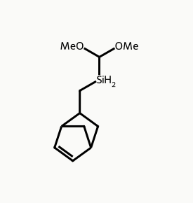 COC(OC)[SiH2]CC1CC2C=CC1C2